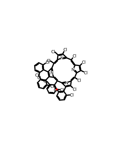 ClC1=C(Cl)C2=C(Cl)C3=NC(=C(Cl)C4=NC(=C(c5c(Cl)cccc5Cl)C5=NC(=C(Cl)C1=N2)C(Cl)=C5c1c(Cl)cccc1Cl)C(c1c(Cl)cccc1Cl)=C4c1c(Cl)cccc1Cl)C(Cl)=C3Cl